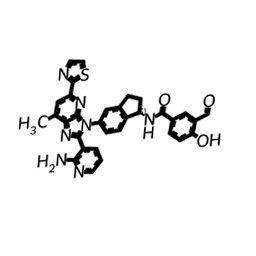 Cc1cc(-c2nccs2)nc2c1nc(-c1cccnc1N)n2-c1ccc2c(c1)CC[C@@H]2NC(=O)c1ccc(O)c(C=O)c1